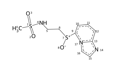 CS(=O)(=O)NCC[S+]([O-])c1cccc2nccn12